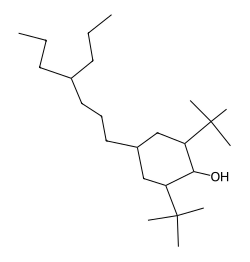 CCCC(CCC)CCCC1CC(C(C)(C)C)C(O)C(C(C)(C)C)C1